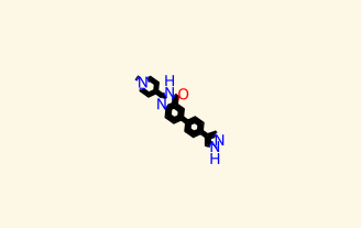 CN1CCC(c2nc3ccc(-c4ccc(-c5cn[nH]c5)cc4)cc3c(=O)[nH]2)CC1